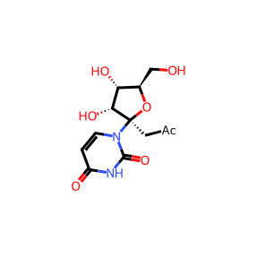 CC(=O)C[C@@]1(n2ccc(=O)[nH]c2=O)O[C@H](CO)[C@@H](O)[C@H]1O